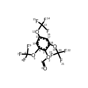 O=[C]Oc1c(OC(F)(F)F)cc(OC(F)(F)F)cc1OC(F)(F)F